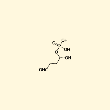 O=CCCC(O)OP(=O)(O)O